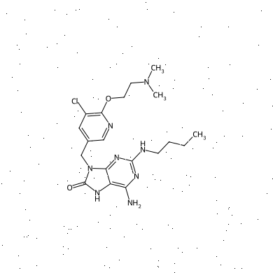 CCCCNc1nc(N)c2[nH]c(=O)n(Cc3cnc(OCCN(C)C)c(Cl)c3)c2n1